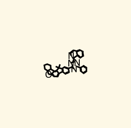 CC1(C)c2cc(-c3nc(-c4ccccc4)nc(-c4nccc5ccccc45)n3)ccc2-c2ccc3c(c21)C1CCCCC1O3